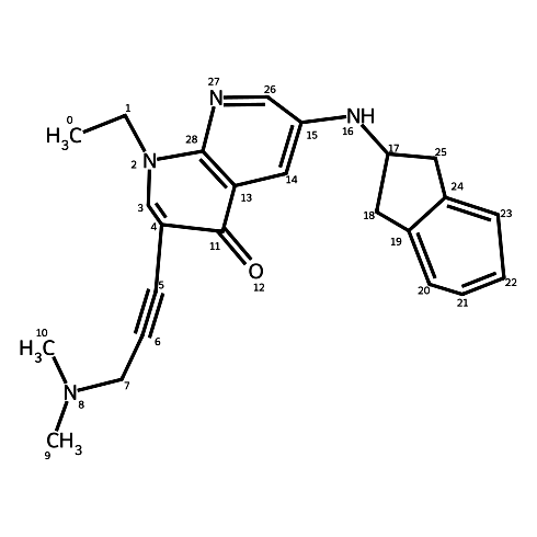 CCn1cc(C#CCN(C)C)c(=O)c2cc(NC3Cc4ccccc4C3)cnc21